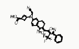 N#CCN(c1ccc2c(c1)CCc1c-2noc1-c1onc(-c2ccccc2)c1C(F)(F)F)C1CC(C(=O)O)C1